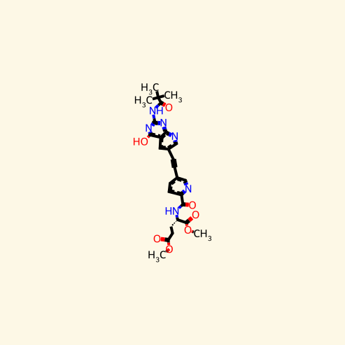 COC(=O)CC[C@H](NC(=O)c1ccc(C#Cc2cnc3nc(NC(=O)C(C)(C)C)nc(O)c3c2)cn1)C(=O)OC